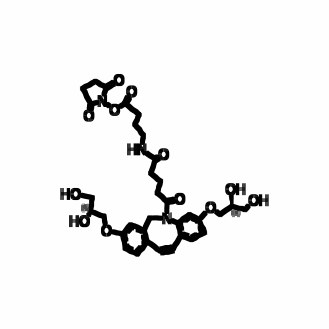 O=C(CCCC(=O)N1Cc2cc(OC[C@@H](O)CO)ccc2C#Cc2ccc(OC[C@@H](O)CO)cc21)NCCCC(=O)ON1C(=O)CCC1=O